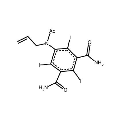 C=CCN(C(C)=O)c1c(I)c(C(N)=O)c(I)c(C(N)=O)c1I